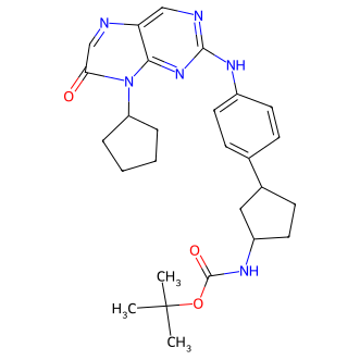 CC(C)(C)OC(=O)NC1CCC(c2ccc(Nc3ncc4ncc(=O)n(C5CCCC5)c4n3)cc2)C1